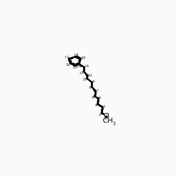 COCCCCCCCCCCCCc1ccccc1